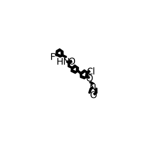 O=C(Cc1ccc(-c2ccc(OCCN3CCOCC3)c(Cl)c2)cc1)NCc1cccc(F)c1